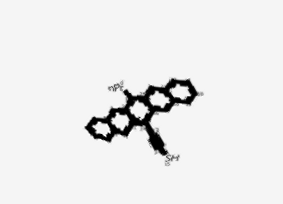 CCCc1c2cc3ccccc3cc2c(C#CS)c2cc3ccccc3cc12